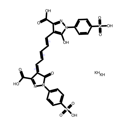 O=C(O)C1=NN(c2ccc(S(=O)(=O)O)cc2)C(=O)\C1=C/C=C/C=C/c1c(C(=O)O)nn(-c2ccc(S(=O)(=O)O)cc2)c1O.[KH].[KH]